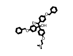 CCC(c1ccc(OCc2ccccc2)cc1)C(O)(c1ccc(OCCN(C)C)cc1)c1ccc(OCc2ccccc2)cc1